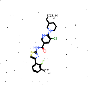 O=C(O)CC1CCCN(c2ncc(C(=O)Nc3nc(-c4cccc(C(F)(F)F)c4F)cs3)cc2Cl)C1